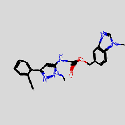 Cc1ccccc1-c1cc(NC(=O)OCc2ccc3c(c2)ncn3C)n(C)n1